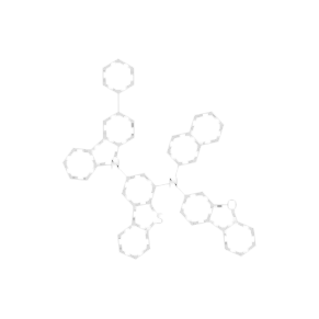 c1ccc(-c2ccc3c(c2)c2ccccc2n3-c2cc(N(c3ccc4ccccc4c3)c3ccc4c(c3)oc3ccccc34)c3sc4ccccc4c3c2)cc1